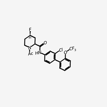 CC(=O)N1CC[C@@H](F)CC1C(=O)Nc1ccc(-c2ccccc2OC(F)(F)F)c(Cl)c1